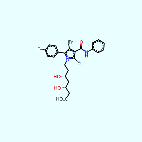 CCc1c(C(=O)Nc2ccccc2)c(C(C)C)c(-c2ccc(F)cc2)n1CC[C@@H](O)C[C@@H](O)CC(=O)O